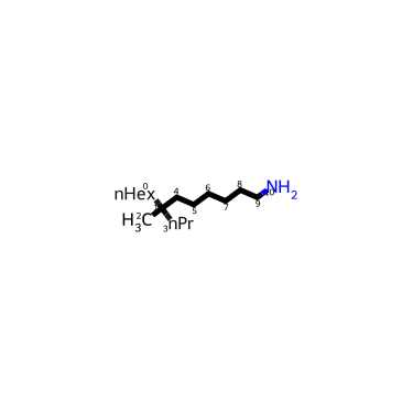 CCCCCCC(C)(CCC)CCCCCCN